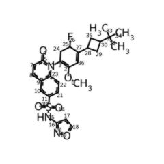 COC1=C(n2c(=O)ccc3cc(S(=O)(=O)Nc4ccon4)ccc32)CC(F)C(C2CC(C(C)(C)C)C2)=C1